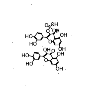 O=c1c(O)c(-c2ccc(O)c(O)c2)oc2cc(O)cc(O)c12.O=c1c(OP(=O)(O)O)c(-c2ccc(O)c(O)c2)oc2cc(O)cc(O)c12